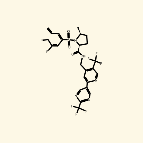 C=C/C=C(\C=C(\F)CF)S(=O)(=O)N1[C@@H](C)CC[C@H]1C(=O)NCc1cc(-c2cnc(C(F)(F)F)nc2)ncc1C(F)(F)F